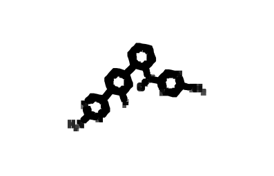 Nc1cnc([S+]([O-])c2ccccc2-c2ccc(-c3cnc(N)nc3)c(F)c2)cn1